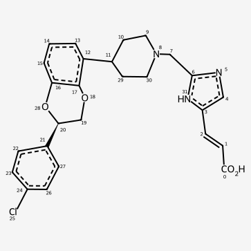 O=C(O)/C=C/c1cnc(CN2CCC(c3cccc4c3OC[C@@H](c3ccc(Cl)cc3)O4)CC2)[nH]1